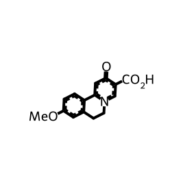 COc1ccc2c(c1)CCn1cc(C(=O)O)c(=O)cc1-2